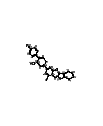 Cc1nc(N2CC=C(c3ccc(F)cc3)[C@@H](O)C2)nc(=O)n1Cc1cc2c(s1)CCCC2